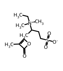 CC1=COC1=O.CC[N+](C)(C)C(C)CCS(=O)(=O)[O-]